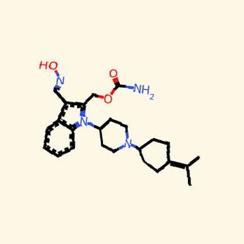 CC(C)=C1CCC(N2CCC(n3c(COC(N)=O)c(C=NO)c4ccccc43)CC2)CC1